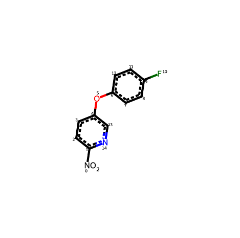 O=[N+]([O-])c1ccc(Oc2ccc(F)cc2)cn1